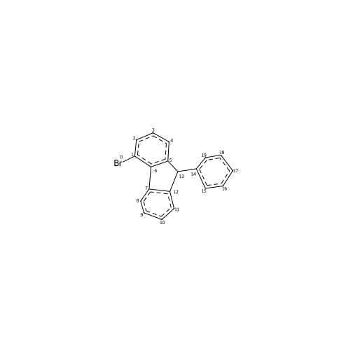 Brc1cccc2c1-c1ccccc1C2c1ccccc1